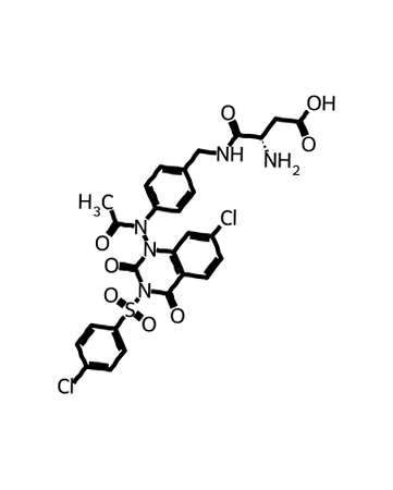 CC(=O)N(c1ccc(CNC(=O)[C@@H](N)CC(=O)O)cc1)n1c(=O)n(S(=O)(=O)c2ccc(Cl)cc2)c(=O)c2ccc(Cl)cc21